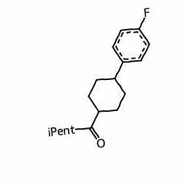 CCCC(C)C(=O)C1CCC(c2ccc(F)cc2)CC1